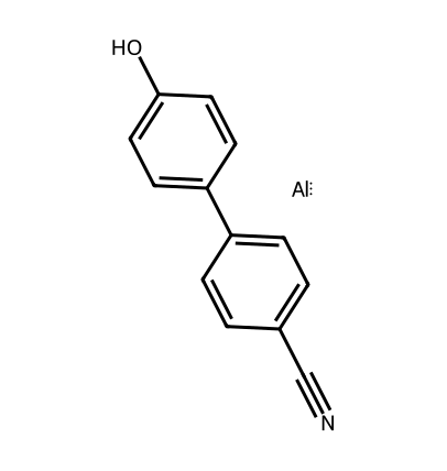 N#Cc1ccc(-c2ccc(O)cc2)cc1.[Al]